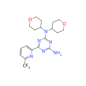 Nc1nc(-c2cccc(C(F)(F)F)n2)nc(N(C2CCOCC2)C2CCOCC2)n1